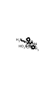 CC(=O)O.Cc1cccc2nc(-c3c(C)n(CCCN)c4ccccc34)c(=O)[nH]c12